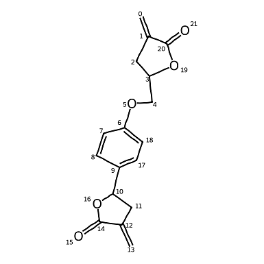 C=C1CC(COc2ccc(C3CC(=C)C(=O)O3)cc2)OC1=O